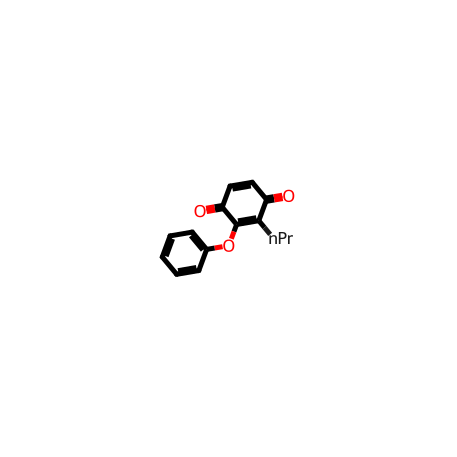 CCCC1=C(Oc2ccccc2)C(=O)C=CC1=O